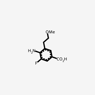 COCCc1cc(C(=O)O)cc(F)c1N